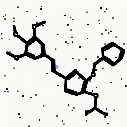 COc1cc(/C=C/c2ccc(OC(F)F)c(OCc3ccccc3)c2)cc(OC)c1OC